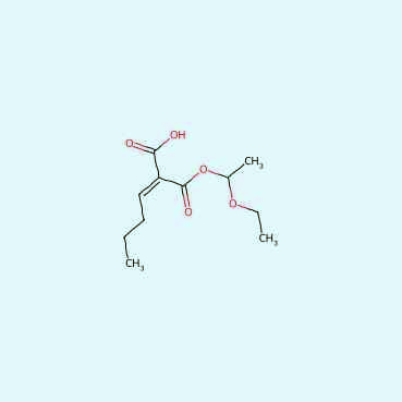 CCCC=C(C(=O)O)C(=O)OC(C)OCC